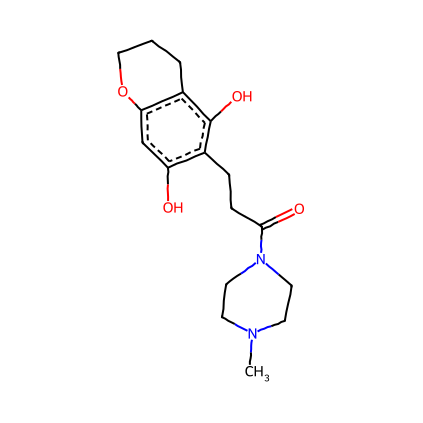 CN1CCN(C(=O)CCc2c(O)cc3c(c2O)CCCO3)CC1